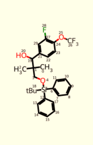 CC(C)(CO[Si](c1ccccc1)(c1ccccc1)C(C)(C)C)C(O)c1ccc(OC(F)(F)F)c(F)c1